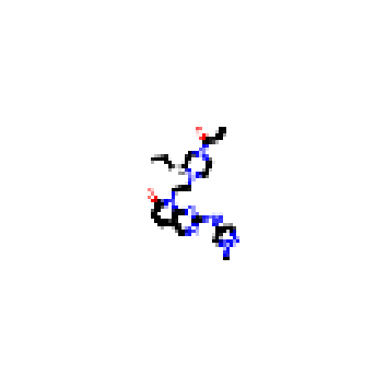 C=CC(=O)N1CCN(CCn2c(=O)ccc3cnc(Nc4cnn(C)c4)nc32)[C@@H](CCC)C1